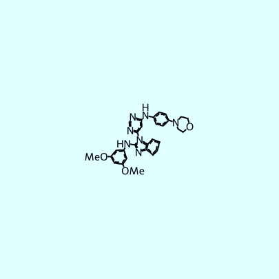 COc1cc(Nc2nc3ccccc3n2-c2cc(Nc3ccc(N4CCOCC4)cc3)ncn2)cc(OC)c1